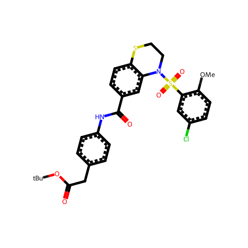 COc1ccc(Cl)cc1S(=O)(=O)N1CCSc2ccc(C(=O)Nc3ccc(CC(=O)OC(C)(C)C)cc3)cc21